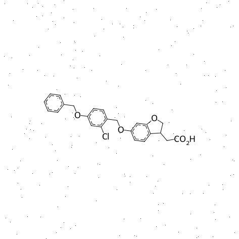 O=C(O)CC1COc2cc(OCc3ccc(OCc4ccccc4)cc3Cl)ccc21